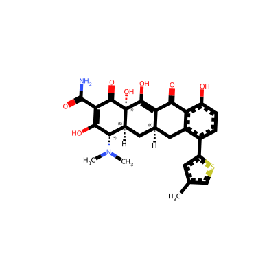 Cc1csc(-c2ccc(O)c3c2C[C@H]2C[C@H]4[C@H](N(C)C)C(O)=C(C(N)=O)C(=O)[C@@]4(O)C(O)=C2C3=O)c1